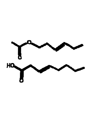 CCC=CCCOC(C)=O.CCCCC=CCC(=O)O